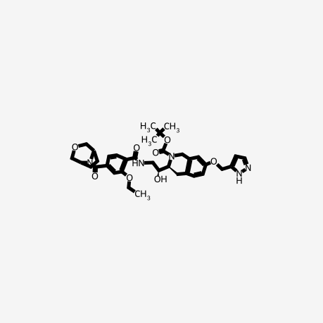 CCOc1cc(C(=O)N2C3CCC2COC3)ccc1C(=O)NC[C@@H](O)[C@@H]1Cc2ccc(OCc3ccn[nH]3)cc2CN1C(=O)OC(C)(C)C